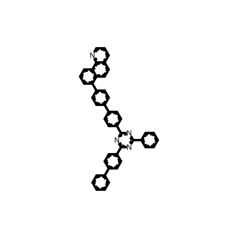 c1ccc(-c2ccc(-c3nc(-c4ccccc4)nc(-c4ccc(-c5ccc(-c6cccc7c6ccc6cccnc67)cc5)cc4)n3)cc2)cc1